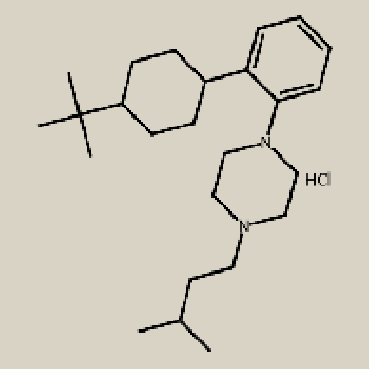 CC(C)CCN1CCN(c2ccccc2C2CCC(C(C)(C)C)CC2)CC1.Cl